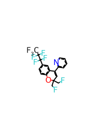 FCC1(CF)C=C(c2ccccn2)c2cc(C(F)(F)C(F)(F)C(F)(F)F)ccc2O1